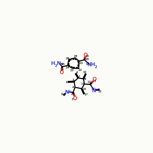 C=NC(=O)C1C(=C)C(=C)C(=C)C(C(=O)N=C)C1=C.NC(=O)c1ccc(C(N)=O)cc1